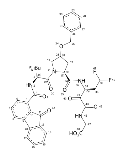 CC[C@@H](C)[C@H](NC(=O)c1cccc2c1C(=O)c1ccccc1-2)C(=O)N1C[C@H](OCc2ccccc2)C[C@H]1C(=O)N[C@@H](CC(F)F)C(=O)C(=O)NCC(=O)O